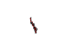 CCCCCC[C@H]1CC[C@H](C2CCC(CCc3ccc(C(=O)OCCCC)cc3)CC2)CC1